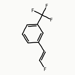 FC=Cc1cccc(C(F)(F)F)c1